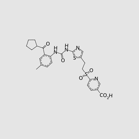 Cc1ccc(NC(=O)Nc2ncc(CCS(=O)(=O)c3ccc(C(=O)O)cn3)s2)c(C(=O)C2CCCC2)c1